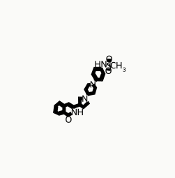 CS(=O)(=O)Nc1ccc(N2CCC(N3CCC(c4cc5ccccc5c(=O)[nH]4)C3)CC2)cc1